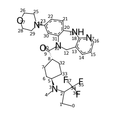 CCC(N(C)[C@H]1CC[C@H](C(=O)N2Cc3cccnc3Nc3ccc(N4CCOCC4)cc32)CC1)C(F)(F)F